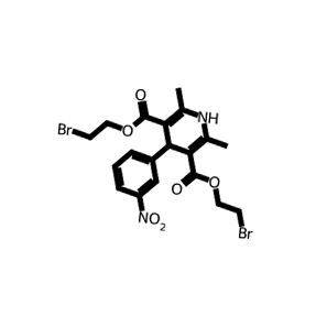 CC1=C(C(=O)OCCBr)C(c2cccc([N+](=O)[O-])c2)C(C(=O)OCCBr)=C(C)N1